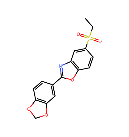 CCS(=O)(=O)c1ccc2oc(-c3ccc4c(c3)OCO4)nc2c1